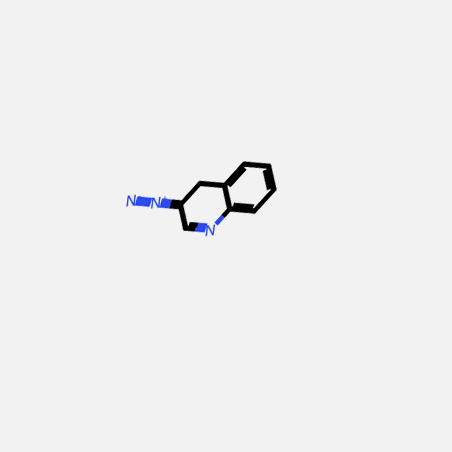 [N-]=[N+]=C1C=Nc2ccccc2C1